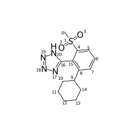 CS(=O)(=O)c1cccc(C2CCCCC2)c1-c1nnn[nH]1